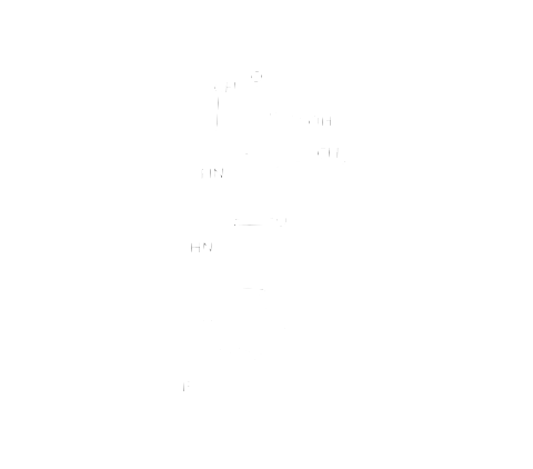 CCC(CC)(NC(=O)Nc1cccc(F)c1)C(=O)O